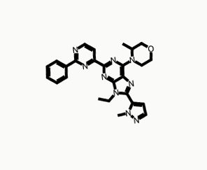 CCn1c(-c2ccnn2C)nc2c(N3CCOCC3C)nc(-c3ccnc(-c4ccccc4)n3)nc21